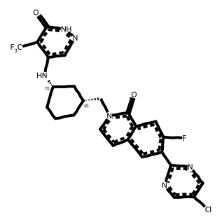 O=c1[nH]ncc(N[C@H]2CCC[C@@H](Cn3ccc4cc(-c5ncc(Cl)cn5)c(F)cc4c3=O)C2)c1C(F)(F)F